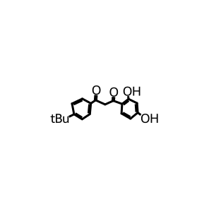 CC(C)(C)c1ccc(C(=O)CC(=O)c2ccc(O)cc2O)cc1